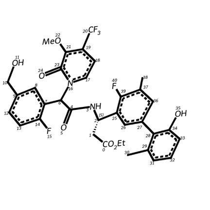 CCOC(=O)C[C@H](NC(=O)C(c1cc(CO)ccc1F)n1ccc(C(F)(F)F)c(OC)c1=O)c1cc(-c2c(C)cccc2O)cc(C)c1F